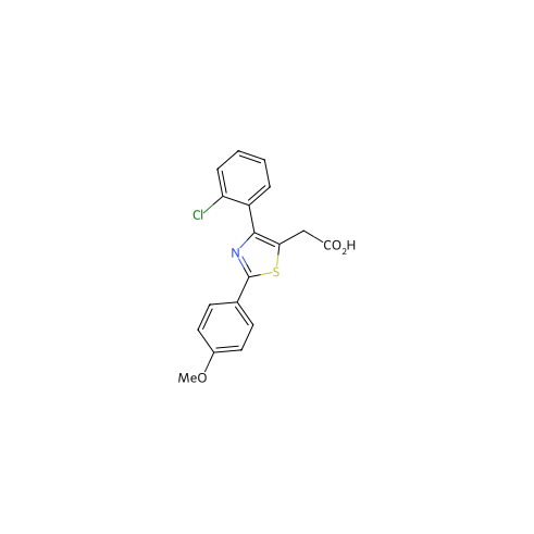 COc1ccc(-c2nc(-c3ccccc3Cl)c(CC(=O)O)s2)cc1